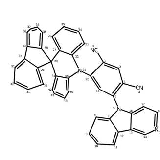 N#Cc1cc(C#N)c(-n2c3ccccc3c3cnccc32)cc1N1c2ccccc2C2(c3ccccc3-c3ccccc32)c2ccccc21